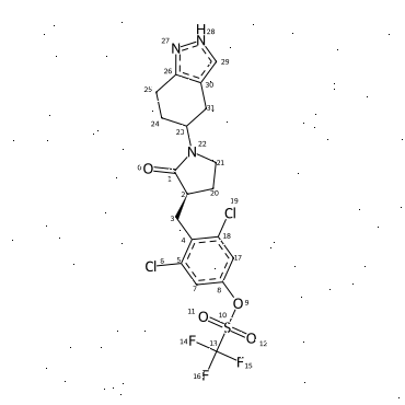 O=C1[C@H](Cc2c(Cl)cc(OS(=O)(=O)C(F)(F)F)cc2Cl)CCN1C1CCc2n[nH]cc2C1